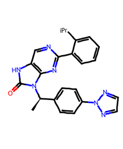 CC(C)c1ccccc1-c1ncc2[nH]c(=O)n([C@H](C)c3ccc(-n4nccn4)cc3)c2n1